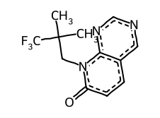 CC(C)(Cn1c(=O)ccc2cncnc21)C(F)(F)F